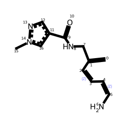 C=C(/C=C\C=C/N)CNC(=O)c1cnn(C)c1